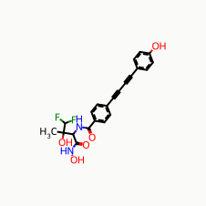 CC(O)(C(F)F)C(NC(=O)c1ccc(C#CC#Cc2ccc(O)cc2)cc1)C(=O)NO